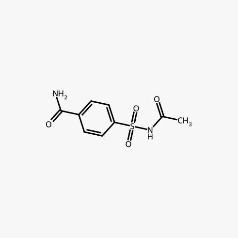 CC(=O)NS(=O)(=O)c1ccc(C(N)=O)cc1